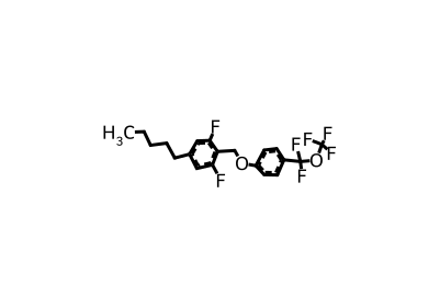 CCCCCc1cc(F)c(COc2ccc(C(F)(F)OC(F)(F)F)cc2)c(F)c1